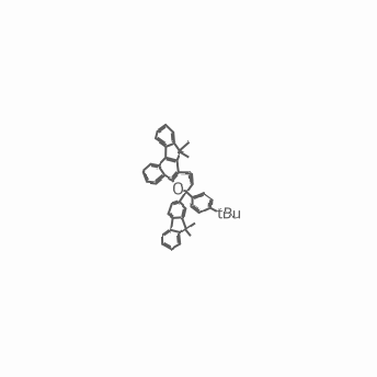 CC(C)(C)c1ccc(C2(c3ccc4c(c3)C(C)(C)c3ccccc3-4)C=Cc3c4c(c5ccccc5c3O2)-c2ccccc2C4(C)C)cc1